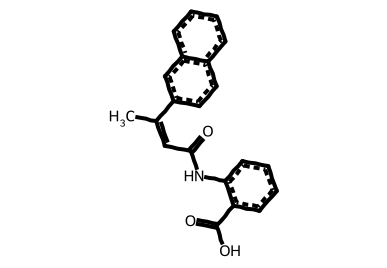 C/C(=C/C(=O)Nc1ccccc1C(=O)O)c1ccc2ccccc2c1